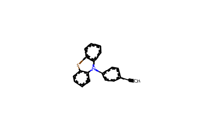 C#Cc1ccc(N2c3ccccc3Sc3ccccc32)cc1